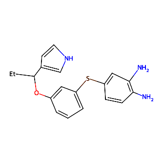 CCC(Oc1cccc(Sc2ccc(N)c(N)c2)c1)c1cc[nH]c1